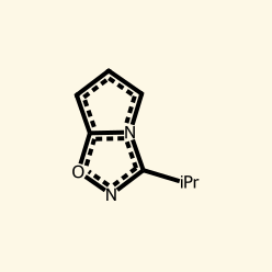 CC(C)c1noc2cccn12